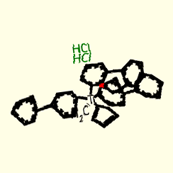 Cl.Cl.[CH2]=[Ti]([C]1=CC=CC1)([c]1ccc(-c2ccccc2)cc1)([c]1ccc(-c2ccccc2)cc1)[c]1cccc2c1Cc1ccccc1-2